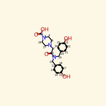 O=C(O)N1CCN(CC(=O)N(Cc2ccc(O)cc2)Cc2ccc(O)cc2)CC1